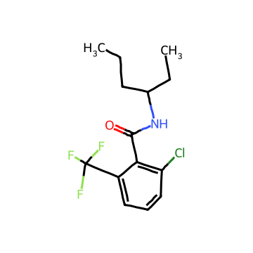 CCCC(CC)NC(=O)c1c(Cl)cccc1C(F)(F)F